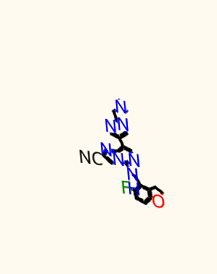 CN(C)Cc1ncc(-c2cnc(NCc3c(F)ccc4c3CCO4)n3cc(C#N)nc23)cn1